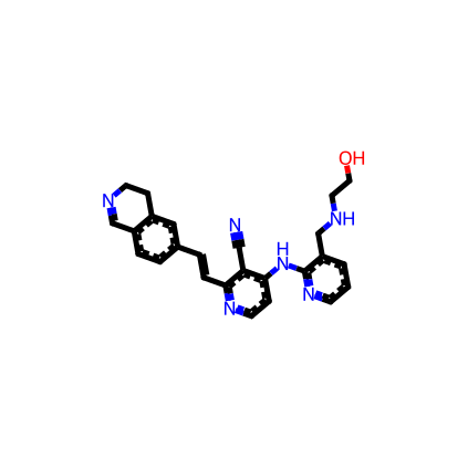 N#Cc1c(Nc2ncccc2CNCCO)ccnc1C=Cc1ccc2c(c1)CCN=C2